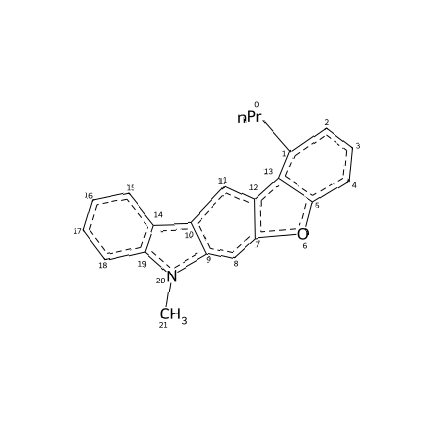 CCCc1cccc2oc3cc4c(cc3c12)c1ccccc1n4C